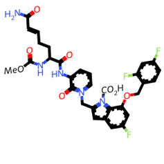 COC(=O)NC(CC/C=C/C(N)=O)C(=O)Nc1cccn(Cc2cc3cc(F)cc(OCc4ccc(F)cc4F)c3n2C(=O)O)c1=O